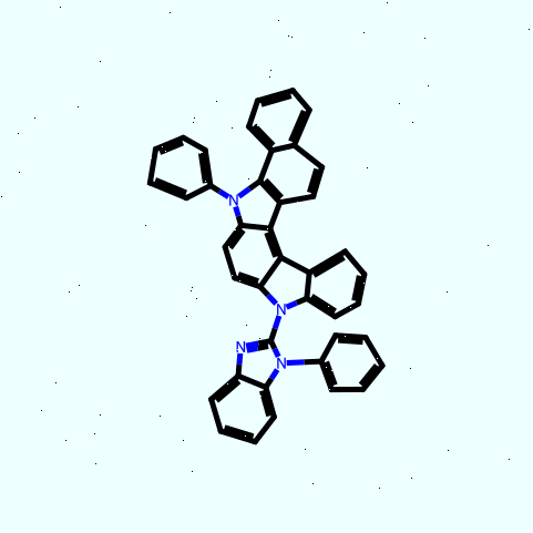 c1ccc(-n2c(-n3c4ccccc4c4c5c6ccc7ccccc7c6n(-c6ccccc6)c5ccc43)nc3ccccc32)cc1